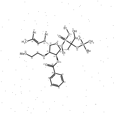 CCOP(=O)(OCC)C(CO)(C[C@H]1O[C@@H](N(/C=C(/C)C(C)=O)C(C)=O)[C@H](OCCOC)[C@@H]1OC(=O)c1ccccc1)O[Si](C)(C)C(C)(C)C